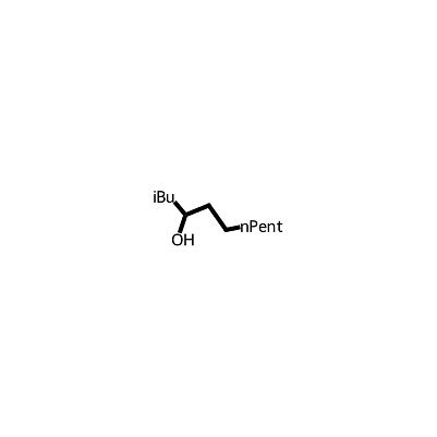 CCCCCCCC(O)C(C)CC